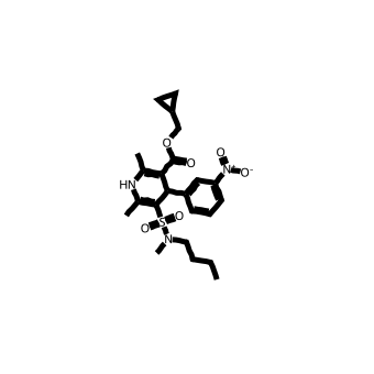 CCCCN(C)S(=O)(=O)C1=C(C)NC(C)=C(C(=O)OCC2CC2)C1c1cccc([N+](=O)[O-])c1